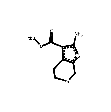 CC(C)(C)OC(=O)c1c(N)sc2c1CCSC2